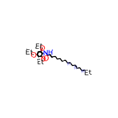 CC/C=C/C/C=C/C/C=C/CCCCCCCC(=O)Nc1c(OCC)cc(OCC)cc1OCC